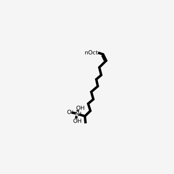 CCCCCCCC/C=C\CCCCCCCCC(C)[N+]([O-])(O)O